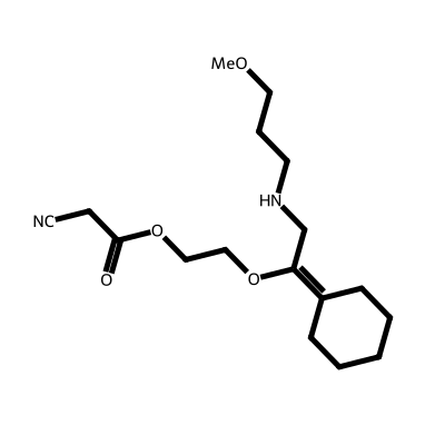 COCCCNCC(OCCOC(=O)CC#N)=C1CCCCC1